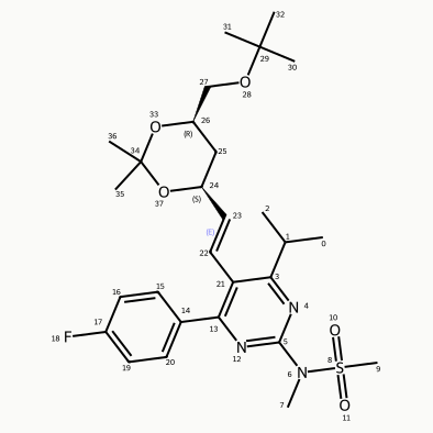 CC(C)c1nc(N(C)S(C)(=O)=O)nc(-c2ccc(F)cc2)c1/C=C/[C@@H]1C[C@H](COC(C)(C)C)OC(C)(C)O1